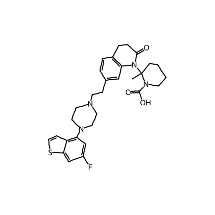 CC1(N2C(=O)CCc3ccc(CCN4CCN(c5cc(F)cc6sccc56)CC4)cc32)CCCCN1C(=O)O